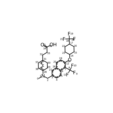 CN(Cc1ccc2c(C(F)(F)F)c(OC3CCC(C(F)(F)F)CC3)ccc2c1)C12CCC(CCC(=O)O)(CC1)CC2